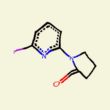 O=C1CCCN1c1cccc(I)n1